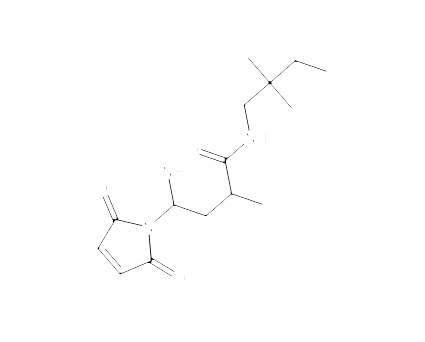 CCC(C)(C)CNC(=O)C(C)CC(N)N1C(=O)C=CC1=O